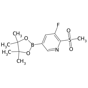 CC1(C)OB(c2cnc(S(C)(=O)=O)c(F)c2)OC1(C)C